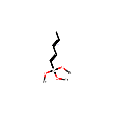 C/C=C/C=C/[Si](OCC)(OCC)OCC